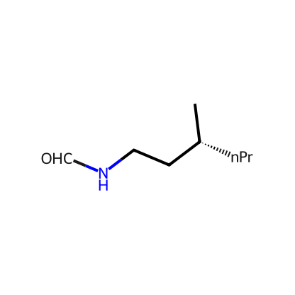 CCC[C@@H](C)CCNC=O